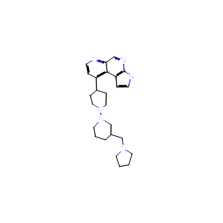 c1cc(C2CCN(N3CCCC(CN4CCCC4)C3)CC2)c2c(cnc3[nH]ccc32)n1